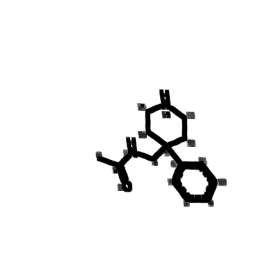 CC(=O)NCC1(c2ccccc2)CCNCC1